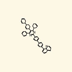 C1=CCC(C2C=CC(c3c(-c4ccccc4)nc(-c4ccc(-c5ccc(-c6cccc7cccnc67)cc5)cc4)nc3C3CC=CCC3)CC2)C=C1